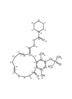 Cc1c(OP(C)(C)=O)cc(O)c2c1CC(=NOCC(=O)N1CCCCC1)/C=C/CC/C=C/CCOC2=O